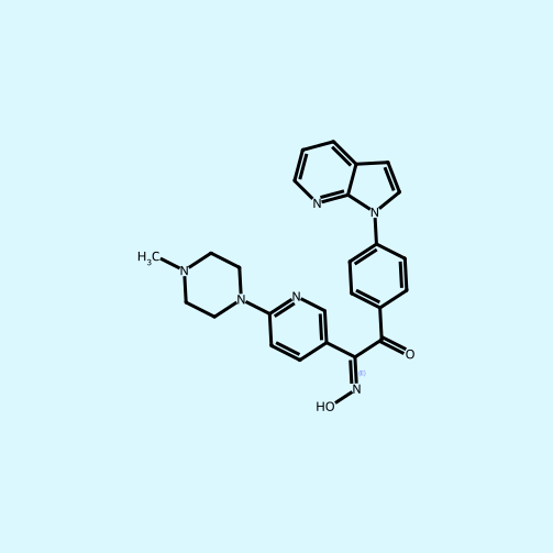 CN1CCN(c2ccc(/C(=N\O)C(=O)c3ccc(-n4ccc5cccnc54)cc3)cn2)CC1